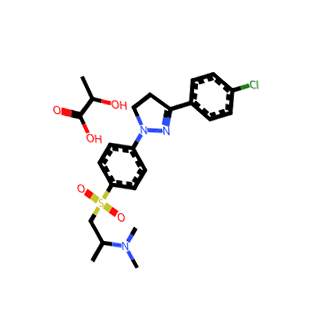 CC(CS(=O)(=O)c1ccc(N2CCC(c3ccc(Cl)cc3)=N2)cc1)N(C)C.CC(O)C(=O)O